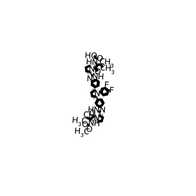 COC(=O)N[C@H](C(=O)N1CCC[C@H]1c1nc2ccc([C@H]3CC[C@H](c4ccc5[nH]c([C@@H]6CCCN6C(=O)[C@@H](NC(=O)O)C(C)C)nc5c4)N3c3ccc(F)c(F)c3)cc2[nH]1)C(C)C